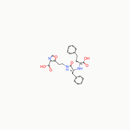 O=C(O)c1ncoc1CCNC(=O)[C@H](Cc1ccccc1)N[C@@H](CCc1ccccc1)C(=O)O